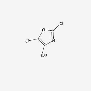 CC(C)(C)c1nc(Cl)oc1Cl